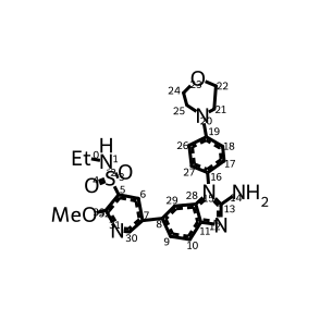 CCNS(=O)(=O)c1cc(-c2ccc3nc(N)n(-c4ccc(N5CCOCC5)cc4)c3c2)cnc1OC